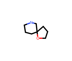 C1C[N]CC2(C1)CCCO2